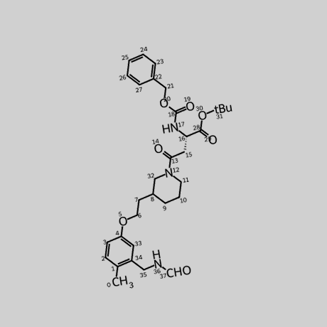 Cc1ccc(OCCC2CCCN(C(=O)C[C@H](NC(=O)OCc3ccccc3)C(=O)OC(C)(C)C)C2)cc1CNC=O